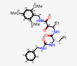 CCC(NC(=O)[C@H](CC(C)C)NC(=O)NCc1ccccc1)C(=O)C(=O)NCc1c(OC)cc(OC)cc1OC